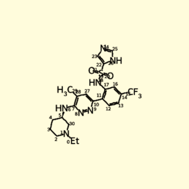 CCN1CCC[C@@H](Nc2nnc(-c3ccc(C(F)(F)F)cc3NS(=O)(=O)c3cnc[nH]3)cc2C)C1